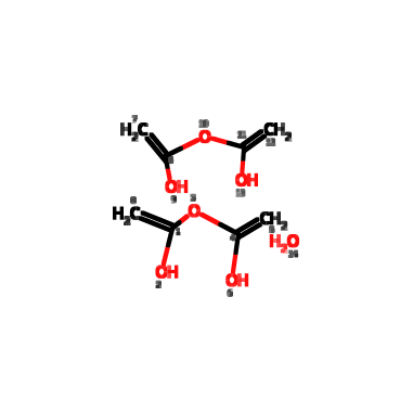 C=C(O)OC(=C)O.C=C(O)OC(=C)O.O